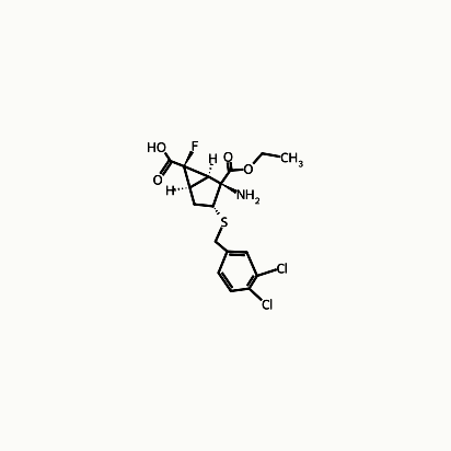 CCOC(=O)[C@@]1(N)[C@H]2[C@@H](C[C@H]1SCc1ccc(Cl)c(Cl)c1)[C@]2(F)C(=O)O